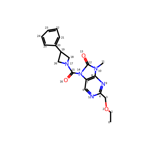 CCOCc1ncc2c(n1)n(C)c(=O)n2C(=O)N1CC(c2ccccc2)C1